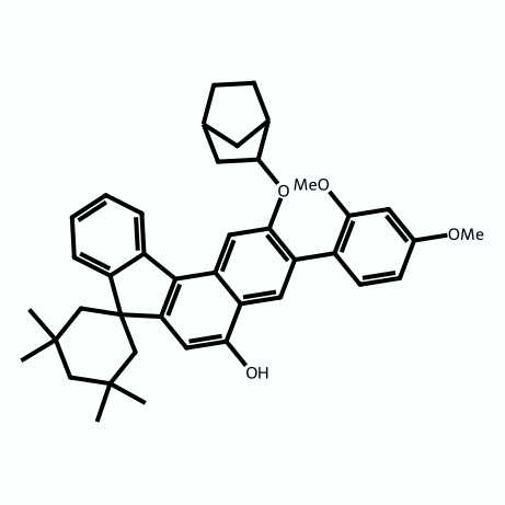 COc1ccc(-c2cc3c(O)cc4c(c3cc2OC2CC3CCC2C3)-c2ccccc2C42CC(C)(C)CC(C)(C)C2)c(OC)c1